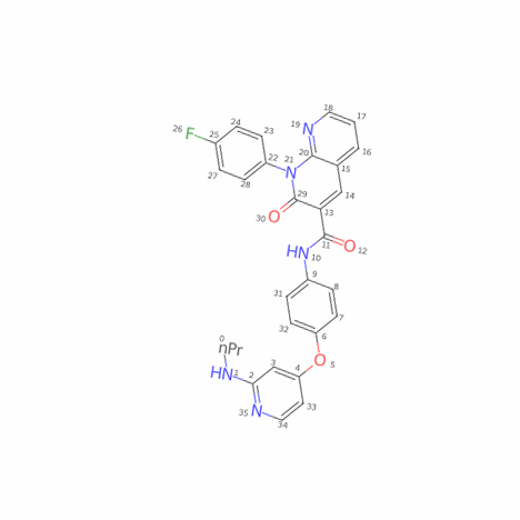 CCCNc1cc(Oc2ccc(NC(=O)c3cc4cccnc4n(-c4ccc(F)cc4)c3=O)cc2)ccn1